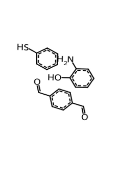 Nc1ccccc1O.O=Cc1ccc(C=O)cc1.Sc1ccccc1